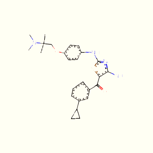 CN(C)C(C)(C)COc1ccc(Nc2nc(N)c(C(=O)c3cccc(C4CC4)c3)s2)cc1